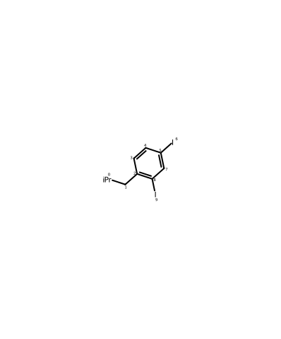 [CH2]C(C)Cc1ccc(I)cc1I